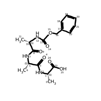 C[C@H](NC(=O)[C@H](C)NC(=O)[C@H](C)NC(=O)OCc1ccccc1)C(=O)O